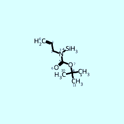 C=CCN([SiH3])C(=O)OC(C)(C)C